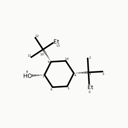 CCC(C)(C)[C@@H]1CC[C@H](O)[C@H](C(C)(C)CC)C1